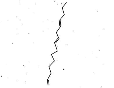 C=CCCCCCC=CCC=CCCC